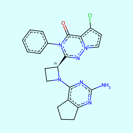 Nc1nc2c(c(N3CC[C@H]3c3nn4ccc(Cl)c4c(=O)n3-c3ccccc3)n1)CCC2